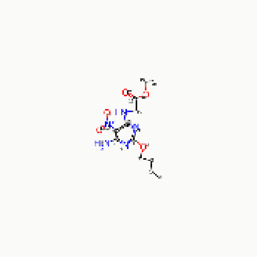 CCCCOc1nc(N)c([N+](=O)[O-])c(NCC(=O)OCC)n1